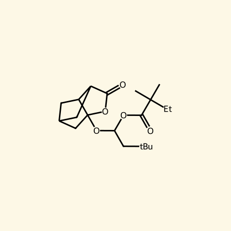 CCC(C)(C)C(=O)OC(CC(C)(C)C)OC12CC3CC(C(=O)O1)C2C3